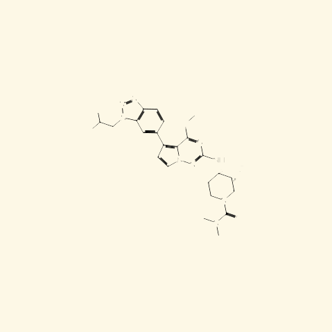 COc1nc(N[C@H]2CCN(C(=O)N(C)C)C[C@H]2F)nn2ccc(-c3ccc4nnn(CC(F)F)c4c3)c12